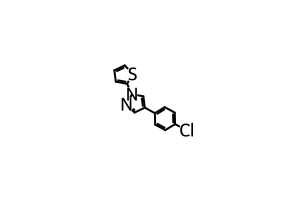 Clc1ccc(-c2cnn(-c3cccs3)c2)cc1